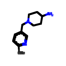 COc1ccc(CN2CCC(N)CC2)cn1